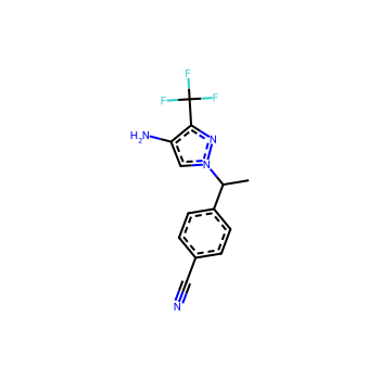 CC(c1ccc(C#N)cc1)n1cc(N)c(C(F)(F)F)n1